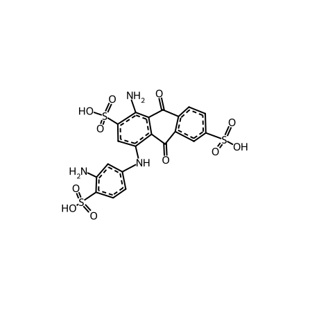 Nc1cc(Nc2cc(S(=O)(=O)O)c(N)c3c2C(=O)c2cc(S(=O)(=O)O)ccc2C3=O)ccc1S(=O)(=O)O